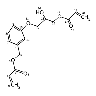 C=CC(=O)OCc1cccc(OCC(O)COC(=O)C=C)c1